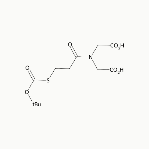 CC(C)(C)OC(=O)SCCC(=O)N(CC(=O)O)CC(=O)O